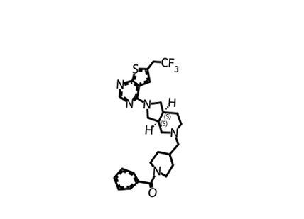 O=C(c1ccccc1)N1CCC(CN2CC[C@@H]3CN(c4ncnc5sc(CC(F)(F)F)cc45)C[C@@H]3C2)CC1